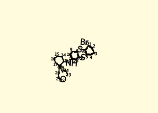 Brc1cccc2c1Sc1ccc(N[C@@H]3CCCC[C@@H]3N3CCOCC3)cc1S2